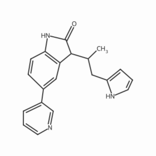 CC(Cc1ccc[nH]1)C1C(=O)Nc2ccc(-c3cccnc3)cc21